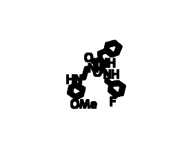 COc1ccc(NCCNC(=O)C(Cc2ccccc2)NC(=O)NCc2cccc(F)c2)cc1